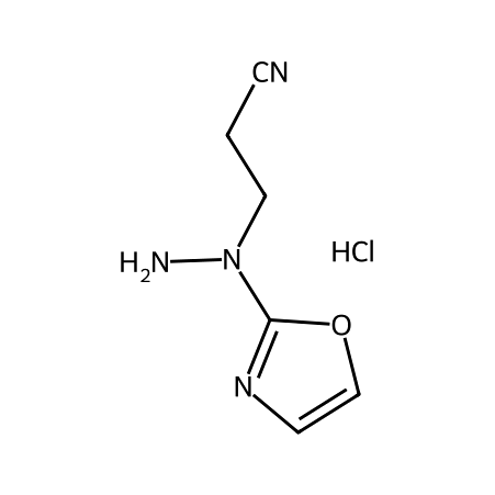 Cl.N#CCCN(N)c1ncco1